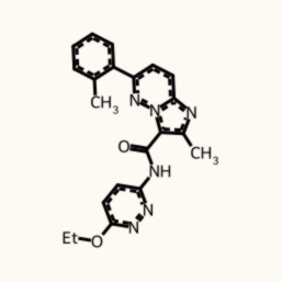 CCOc1ccc(NC(=O)c2c(C)nc3ccc(-c4ccccc4C)nn23)nn1